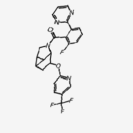 O=C(c1c(F)cccc1-c1ncccn1)N1CC2C3CC(Oc4ccc(C(F)(F)F)cn4)C1C32